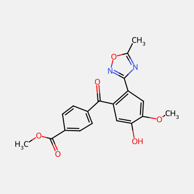 COC(=O)c1ccc(C(=O)c2cc(O)c(OC)cc2-c2noc(C)n2)cc1